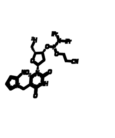 [2H]C[C@H]1O[C@@H](n2cc(Cn3cccc3[N+](=O)[O-])c(=O)[nH]c2=O)C[C@H]1OP(OCCC#N)N(C(C)C)C(C)C